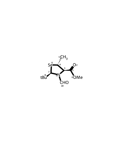 COC(=O)[C@@H]1[C@@H](C)[Se][C@H](C(C)(C)C)N1C=O